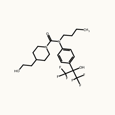 CCCCN(C(=O)N1CCC(CCO)CC1)c1ccc(C(O)(C(F)(F)F)C(F)(F)F)cc1